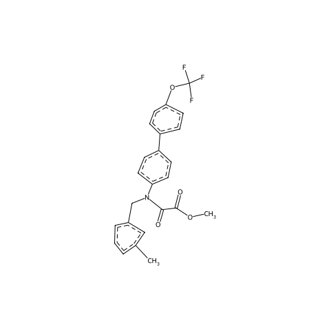 COC(=O)C(=O)N(Cc1cccc(C)c1)c1ccc(-c2ccc(OC(F)(F)F)cc2)cc1